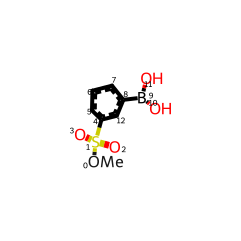 COS(=O)(=O)c1cccc(B(O)O)c1